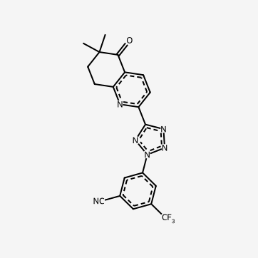 CC1(C)CCc2nc(-c3nnn(-c4cc(C#N)cc(C(F)(F)F)c4)n3)ccc2C1=O